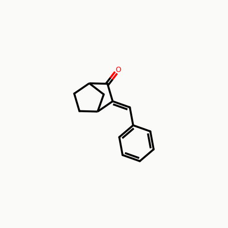 O=C1C(=Cc2ccccc2)C2CCC1C2